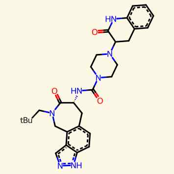 CC(C)(C)CN1Cc2c(ccc3[nH]ncc23)C[C@@H](NC(=O)N2CCN(C3Cc4ccccc4NC3=O)CC2)C1=O